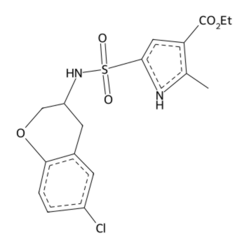 CCOC(=O)c1cc(S(=O)(=O)NC2COc3ccc(Cl)cc3C2)[nH]c1C